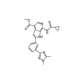 COC(=O)c1cnc(NC(=O)C2CC2)c2[nH]c(-c3cccc(-c4nc(C)n(C)n4)c3)cc12